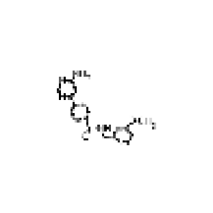 COc1cccc(CNC(=O)c2ccc(-c3cc(N)ncn3)cc2)c1